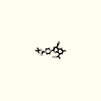 Cc1cc(C(C)O)c2nc(N3CCN(C(=O)OC(C)(C)C)CC3)cc(C#N)c2c1